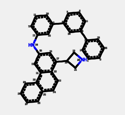 c1ccc(-c2cccc(-c3cccc(Nc4cc(C5CNC5)c5ccc6ccccc6c5c4)c3)c2)cc1